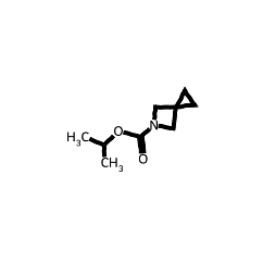 CC(C)OC(=O)N1CC2(CC2)C1